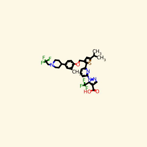 Cc1cc(C2CCN(CC(F)(F)F)CC2)ccc1OCc1cc(C(C)C)sc1-c1cccc(-n2ncc(C(=O)O)c2C(F)(F)F)n1